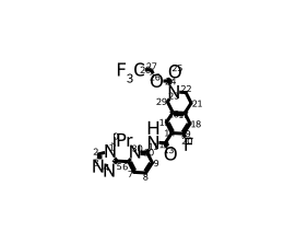 CC(C)n1cnnc1-c1cccc(NC(=O)c2cc3c(cc2F)CCN(C(=O)OCC(F)(F)F)C3)n1